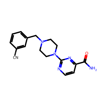 N#Cc1cccc(CN2CCN(c3nc[c]c(C(N)=O)n3)CC2)c1